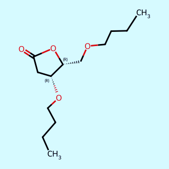 CCCCOC[C@H]1OC(=O)C[C@H]1OCCCC